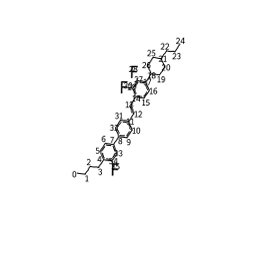 CCCCc1ccc(-c2ccc(/C=C/c3ccc(C4CCC(CCC)CC4)c(F)c3F)cc2)cc1F